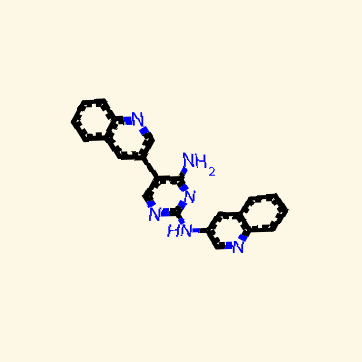 Nc1nc(Nc2cnc3ccccc3c2)ncc1-c1cnc2ccccc2c1